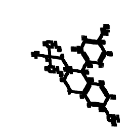 CC(C)(F)CN1CCc2cc(O)ccc2C1c1ccc(Br)cn1